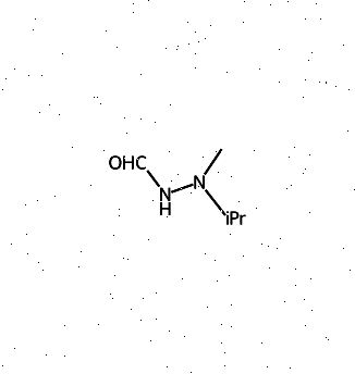 CC(C)N(C)NC=O